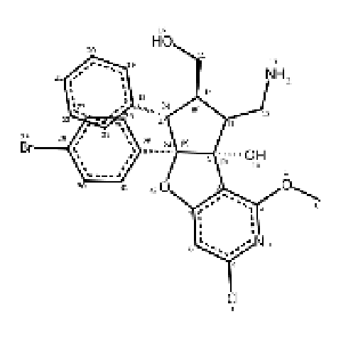 COc1nc(Cl)cc2c1[C@]1(O)C(CN)[C@H](CO)[C@@H](c3ccccc3)[C@]1(c1ccc(Br)cc1)O2